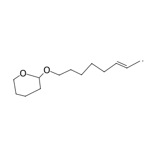 [CH2]/C=C/CCCCCOC1CCCCO1